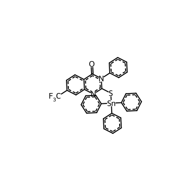 O=c1c2ccc(C(F)(F)F)cc2nc([S][Sn]([c]2ccccc2)([c]2ccccc2)[c]2ccccc2)n1-c1ccccc1